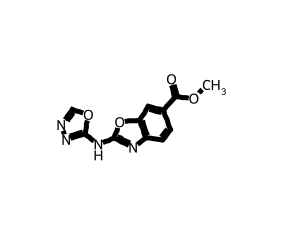 COC(=O)c1ccc2nc(Nc3nnco3)oc2c1